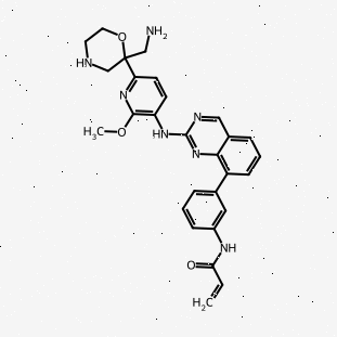 C=CC(=O)Nc1cccc(-c2cccc3cnc(Nc4ccc(C5(CN)CNCCO5)nc4OC)nc23)c1